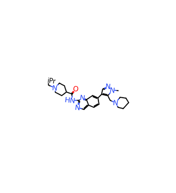 CC(C)CN1CCC(C(=O)Nc2ncc3ccc(-c4cnn(C)c4CN4CCCCC4)cc3n2)CC1